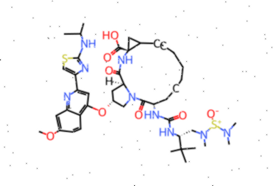 COc1ccc2c(O[C@@H]3C[C@H]4C(=O)N[C@]5(C(=O)O)CC5CCCCCCC[C@H](NC(=O)N[C@H](CN(C)[S+]([O-])N(C)C)C(C)(C)C)C(=O)N4C3)cc(-c3csc(NC(C)C)n3)nc2c1